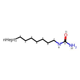 CCCCCCCCCCCCCC[N]C(N)=O